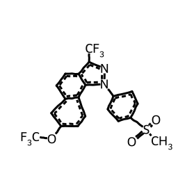 CS(=O)(=O)c1ccc(-n2nc(C(F)(F)F)c3ccc4cc(OC(F)(F)F)ccc4c32)cc1